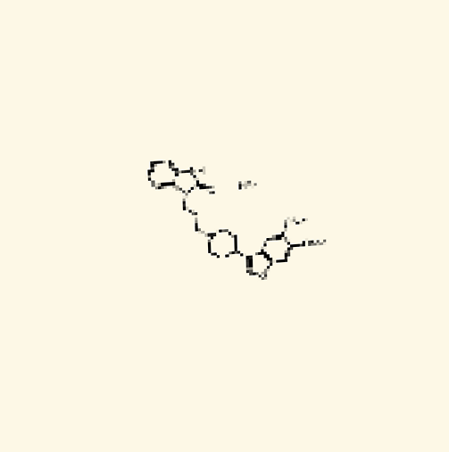 Br.COc1cc2onc(C3CCN(CCCn4c(=O)[nH]c5ccccc54)CC3)c2cc1OC